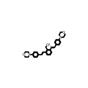 FC(F)(F)Cc1c(/C=C/c2ccc(N3CCOCC3)cc2)cccc1/C=C/c1ccc(N2CCOCC2)cc1